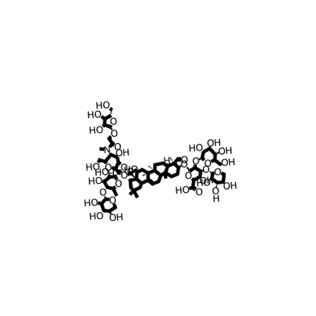 CC1O[C@@H](C2(OC(=O)[C@]34CCC(C)(C)CC3C3=CCC5C6(C)CC[C@H](O[C@@H]7OC(C(=O)O)[C@@H](O)[C@H](O[C@@H]8OC[C@@H](O)[C@H](O)C8O)C7O[C@@H]7OC(CO)[C@H](O)[C@H](O)C7O)[C@](C)(C=O)[C@@H]6CC[C@]5(C)[C@]3(C)CC4O)OC3C(O)[C@@H](N(C)C(=O)CO[C@@H]4O[C@@H](CO)C(O)C4O)C(CO)O[C@H]32)C(O)C(O)[C@H]1O[C@@H]1OC[C@@H](O)C(O)C1O